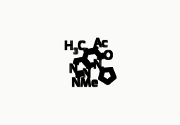 CNc1ncc2c(C)c(C(C)=O)c(=O)n(C3CCCC3)c2n1